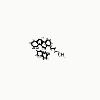 CCCCCc1cccc2c1ccc1c3c(ccc12)CCCC3.c1cnc2ncccc2c1